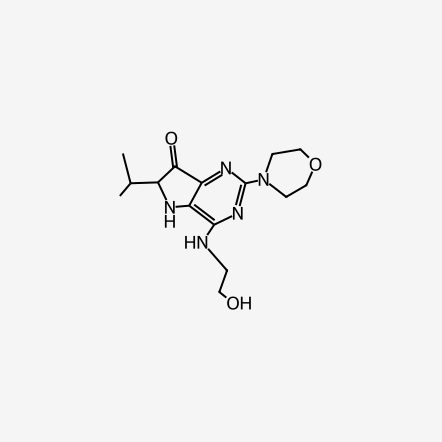 CC(C)C1Nc2c(NCCO)nc(N3CCOCC3)nc2C1=O